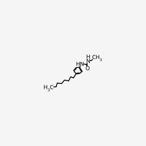 CCCCCCCCc1ccc(NC(=O)NCC)cc1